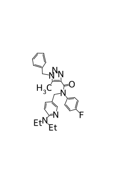 CCN(CC)c1ccc(CN(C(=O)c2nnn(Cc3ccccc3)c2C)c2ccc(F)cc2)cn1